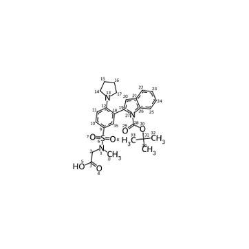 CN(CC(=O)O)S(=O)(=O)c1ccc(N2CCCC2)c(-c2cc3ccccc3n2C(=O)OC(C)(C)C)c1